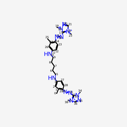 Cc1cc(NCCCCCNc2ccc(N=Nc3n(C)nc[n+]3C)c(C)c2)ccc1N=Nc1n(C)nc[n+]1C